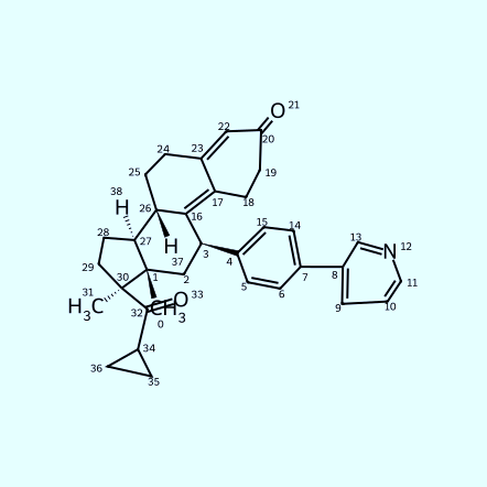 C[C@]12C[C@H](c3ccc(-c4cccnc4)cc3)C3=C4CCC(=O)C=C4CC[C@H]3[C@@H]1CC[C@]2(C)C(=O)C1CC1